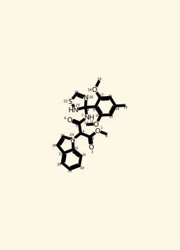 COC(=O)C(C(=O)NC1(c2c(OC)cc(C)cc2OC)N=CSN1)n1ccc2ccccc21